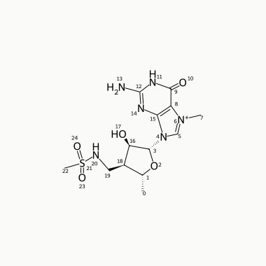 C[C@H]1O[C@@H](n2c[n+](C)c3c(=O)[nH]c(N)nc32)[C@H](O)[C@@H]1CNS(C)(=O)=O